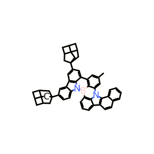 Cc1cc2c3c(c1)-n1c4c(cccc4c4ccc5ccccc5c41)B3n1c3ccc(C45CC6CC7CC(C4)C76C5)cc3c3cc(C45CC6CC7CC(C4)C76C5)cc-2c31